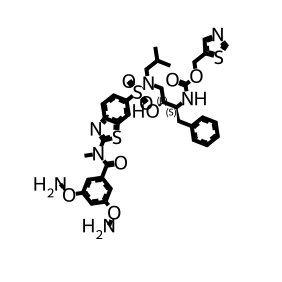 CC(C)CN(C[C@@H](O)[C@H](Cc1ccccc1)NC(=O)OCc1cncs1)S(=O)(=O)c1ccc2nc(N(C)C(=O)c3cc(ON)cc(ON)c3)sc2c1